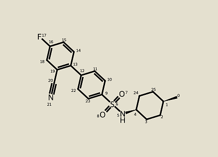 C[C@H]1CC[C@@H](NS(=O)(=O)c2ccc(-c3ccc(F)cc3C#N)cc2)CC1